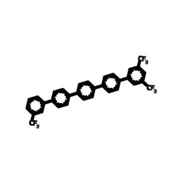 FC(F)(F)c1cccc(-c2ccc(-c3ccc(-c4ccc(-c5cc(C(F)(F)F)cc(C(F)(F)F)c5)cc4)cc3)cc2)c1